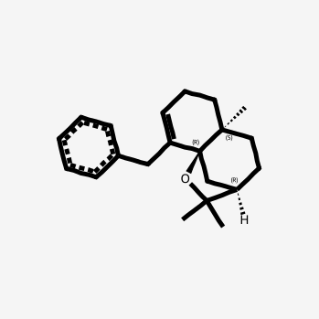 CC1(C)O[C@]23C[C@H]1CC[C@]2(C)CCC=C3Cc1ccccc1